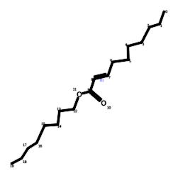 CCCCCCC/C=C/C(=O)OCCCCCCCC